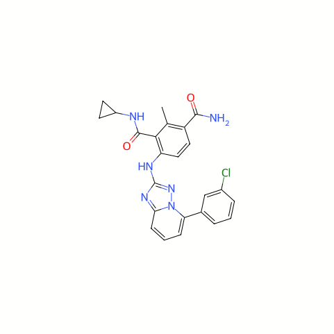 Cc1c(C(N)=O)ccc(Nc2nc3cccc(-c4cccc(Cl)c4)n3n2)c1C(=O)NC1CC1